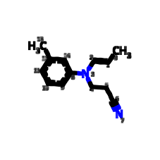 CC=CN(CCC#N)c1cccc(C)c1